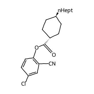 CCCCCCC[C@H]1CC[C@H](C(=O)Oc2ccc(Cl)cc2C#N)CC1